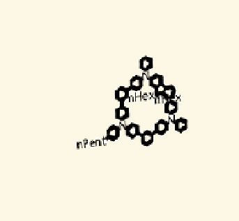 CCCCCCC1(CCCCCC)c2ccccc2-c2ccc(N(c3ccccc3)c3ccc(-c4cccc(-c5ccc(N(c6ccc(CCCCC)cc6)c6ccc(-c7cccc(-c8ccc(N(c9ccccc9)c9ccccc9)cc8)c7)cc6)cc5)c4)cc3)cc21